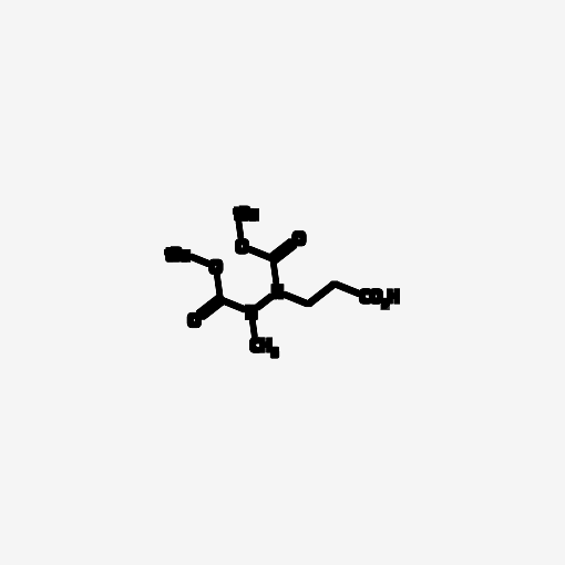 CN(C(=O)OC(C)(C)C)N(CCC(=O)O)C(=O)OC(C)(C)C